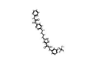 CC(F)(F)Oc1cccc(CNC(=O)c2cn(CCCCc3ccc(NC(=O)Cc4ccccn4)nn3)nn2)c1